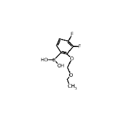 CCOCOc1c(B(O)O)ccc(F)c1F